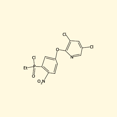 CCP(=O)(Cl)c1cc(Oc2ncc(Cl)cc2Cl)ccc1[N+](=O)[O-]